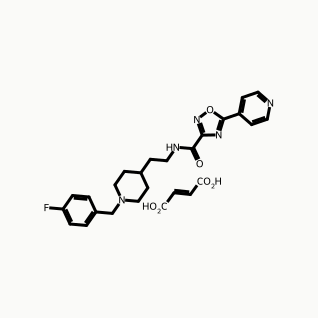 O=C(NCCC1CCN(Cc2ccc(F)cc2)CC1)c1noc(-c2ccncc2)n1.O=C(O)/C=C/C(=O)O